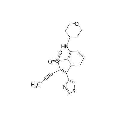 CC#CC1=C(c2cscn2)c2cccc(NC3CCOCC3)c2S1(=O)=O